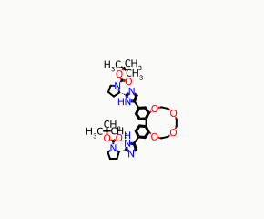 CC(C)(C)OC(=O)N1CCC[C@H]1c1ncc(-c2ccc3c(c2)OCCOCCOCCOc2cc(-c4cnc([C@@H]5CCCN5C(=O)OC(C)(C)C)[nH]4)ccc2-3)[nH]1